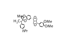 CCCc1ccc(C(C)C(=O)Oc2cc([C@@H]3OCC4C3CO[C@@H]4c3ccc(OC)c(OC)c3)ccc2OC)cc1